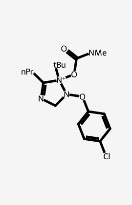 CCCC1=NCN(Oc2ccc(Cl)cc2)[N+]1(OC(=O)NC)C(C)(C)C